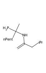 C=C(CC(C)C)NC(C)(P)CCCCC